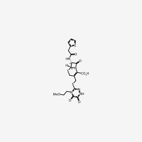 COCCn1c(SCC2=C(C(=O)O)N3C(=O)[C@@H](NC(=O)Cc4cccs4)[C@H]3SC2)n[nH]c(=O)c1=O